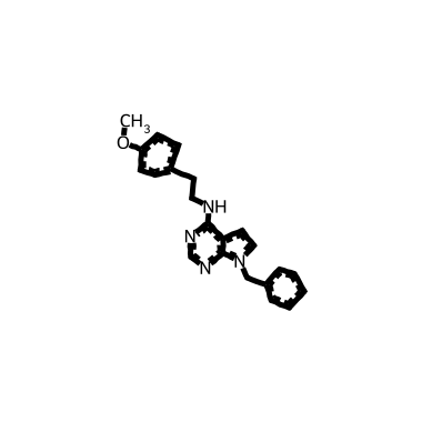 COc1ccc(CCNc2ncnc3c2ccn3Cc2ccccc2)cc1